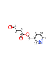 O=[C]CCC(=O)OCc1cccnc1